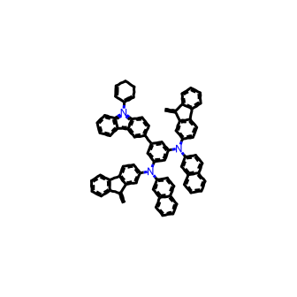 C=C1c2ccccc2-c2ccc(N(c3cc(-c4ccc5c(c4)c4ccccc4n5C4=CCCC=C4)cc(N(c4ccc5c(c4)C(=C)c4ccccc4-5)c4ccc5ccccc5c4)c3)c3ccc4ccccc4c3)cc21